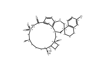 C[C@@H]1CCC[C@H](O)[C@@H]2CC[C@H]2CN2C[C@@]3(CCCc4cc(Cl)ccc43)COc3ccc(cc32)C(=O)NS(=O)(=O)C1